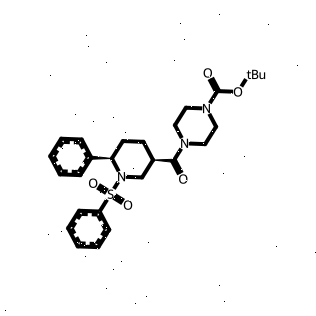 CC(C)(C)OC(=O)N1CCN(C(=O)[C@@H]2CC[C@H](c3ccccc3)N(S(=O)(=O)c3ccccc3)C2)CC1